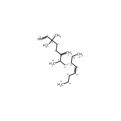 C=C(CCC(C)(C)C=N)C(C)C[C@@H](/C=C\CCC)CC